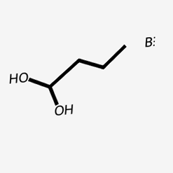 CCCC(O)O.[B]